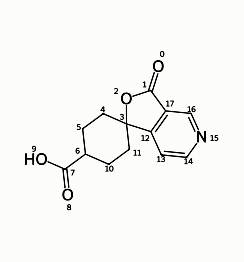 O=C1OC2(CCC(C(=O)O)CC2)c2ccncc21